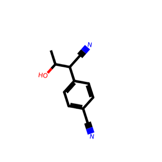 CC(O)C(C#N)c1ccc(C#N)cc1